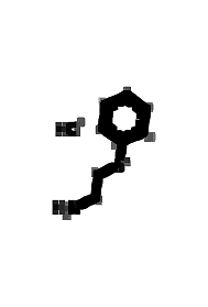 Cl.NCCSc1ccccc1